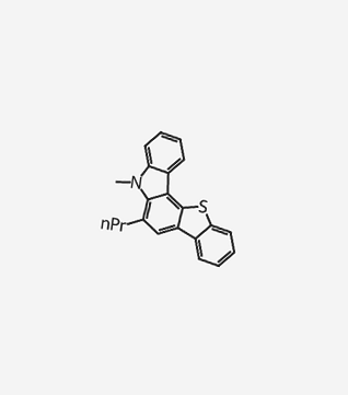 CCCc1cc2c3ccccc3sc2c2c3ccccc3n(C)c12